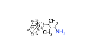 CC(CCN)CC(C)C12CC3CC(CC(C3)C1)C2